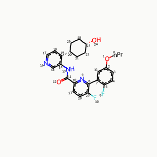 CCCOc1ccc(F)c(-c2nc(C(=O)Nc3cnccc3[C@H]3CC[C@@H](O)CC3)ccc2F)c1